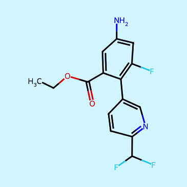 CCOC(=O)c1cc(N)cc(F)c1-c1ccc(C(F)F)nc1